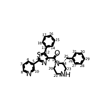 O=C(c1nc(-c2cccnc2)sc1-c1ccccc1)N1CCNC[C@H]1Cc1ccccc1